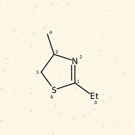 CCC1=NC(C)CS1